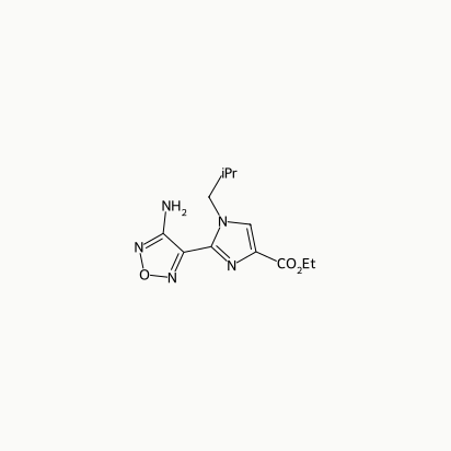 CCOC(=O)c1cn(CC(C)C)c(-c2nonc2N)n1